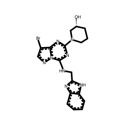 O[C@@H]1CCCN(c2nc(NCc3nc4ccccc4[nH]3)n3ncc(Br)c3n2)C1